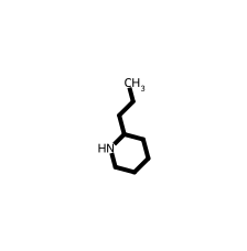 CCCC1CCCCN1